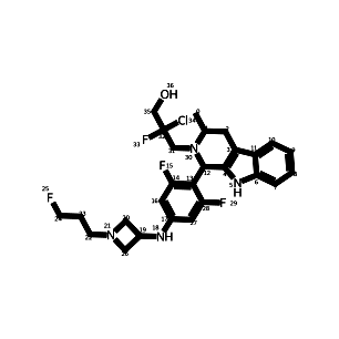 CC1Cc2c([nH]c3ccccc23)C(c2c(F)cc(NC3CN(CCCF)C3)cc2F)N1CC(F)(Cl)CO